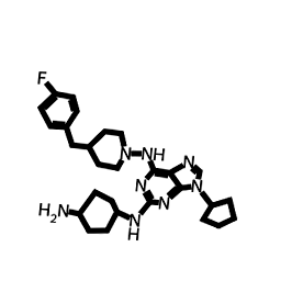 NC1CCC(Nc2nc(NN3CCC(Cc4ccc(F)cc4)CC3)c3ncn(C4CCCC4)c3n2)CC1